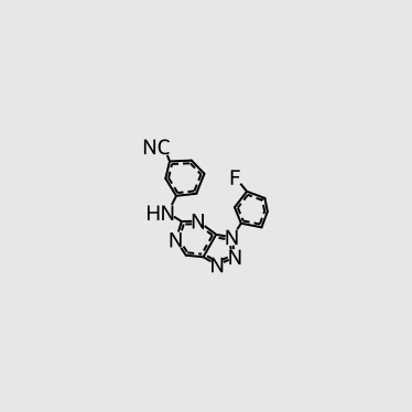 N#Cc1cccc(Nc2ncc3nnn(-c4cccc(F)c4)c3n2)c1